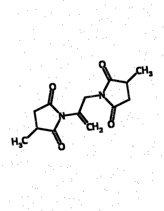 C=C(CN1C(=O)CC(C)C1=O)N1C(=O)CC(C)C1=O